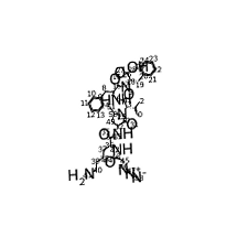 CC(C)[C@@H](C(=O)N[C@@H](Cc1ccccc1)C(=O)N[C@@H](Cc1ccccc1)C(=O)O)N1C(=O)[C@@H](NC(=O)[C@H](CCCCN)NC(=O)CN=[N+]=[N-])CC1C